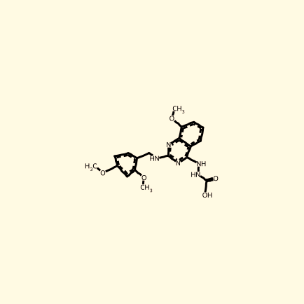 COc1ccc(CNc2nc(NNC(=O)O)c3cccc(OC)c3n2)c(OC)c1